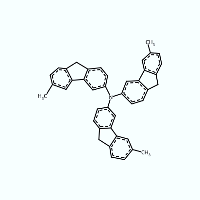 Cc1ccc2c(c1)-c1cc(N(c3ccc4c(c3)-c3cc(C)ccc3C4)c3ccc4c(c3)-c3cc(C)ccc3C4)ccc1C2